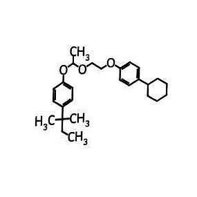 CCC(C)(C)c1ccc(OC(C)OCCOc2ccc(C3CCCCC3)cc2)cc1